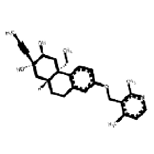 CC#C[C@]1(O)C[C@H]2CCc3cc(OCc4c(C)ccnc4C)ccc3[C@]2(CC)C[C@@H]1O